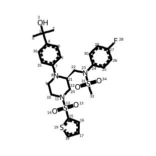 CC(C)(O)c1ccc(N2CCN(S(=O)(=O)c3cccs3)C[C@@H]2CN(c2ccc(F)cc2)S(C)(=O)=O)cc1